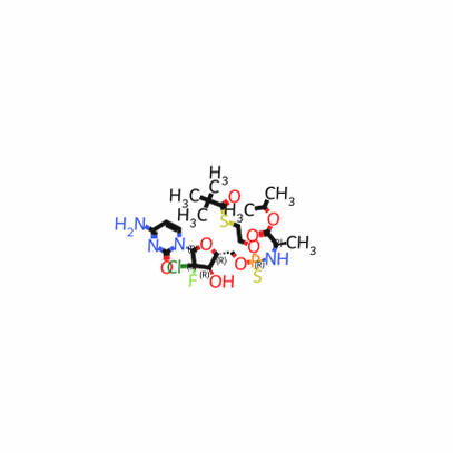 CC(C)OC(=O)[C@@H](C)N[P@](=S)(OCCSC(=O)C(C)(C)C)OC[C@H]1O[C@@H](n2ccc(N)nc2=O)[C@@](F)(Cl)[C@@H]1O